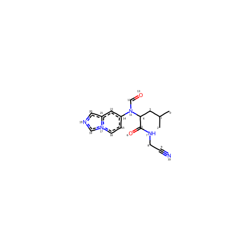 CC(C)CC(C(=O)NCC#N)N(C=O)c1ccn2cncc2c1